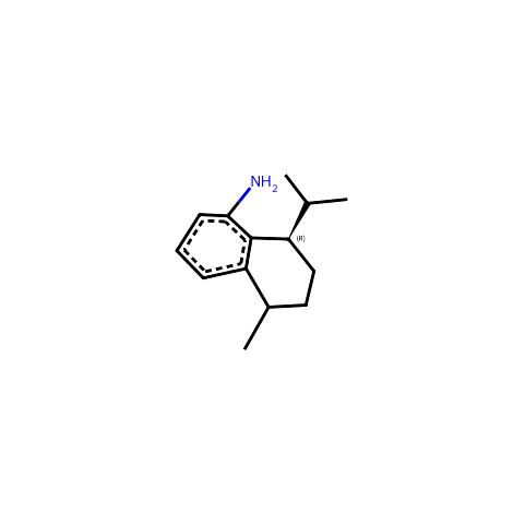 CC1CC[C@H](C(C)C)c2c(N)cccc21